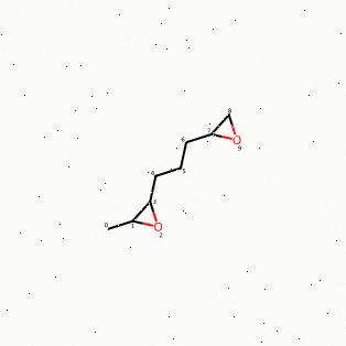 CC1OC1CCCC1CO1